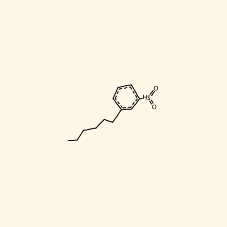 CCCCCCc1cccc([SH](=O)=O)c1